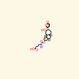 C[C@]12CC[C@H](OC(=O)NCCCC(=O)O)C[C@H]1CC[C@H]1CCC[C@H](c3ccc(=O)oc3)[C@](C)(O)CC[C@@H]12